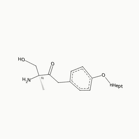 CCCCCCCOc1ccc(CC(=O)[C@@](C)(N)CO)cc1